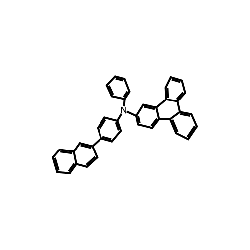 c1ccc(N(c2ccc(-c3ccc4ccccc4c3)cc2)c2ccc3c4ccccc4c4ccccc4c3c2)cc1